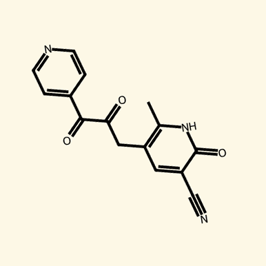 Cc1[nH]c(=O)c(C#N)cc1CC(=O)C(=O)c1ccncc1